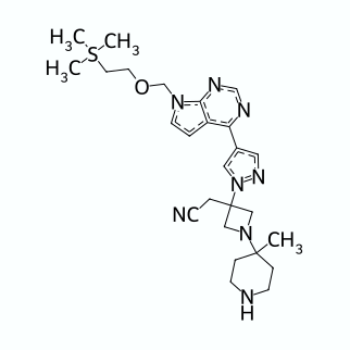 CC1(N2CC(CC#N)(n3cc(-c4ncnc5c4ccn5COCCS(C)(C)C)cn3)C2)CCNCC1